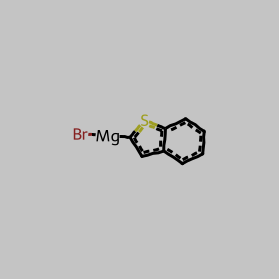 [Br][Mg][c]1cc2ccccc2s1